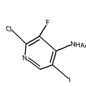 CC(=O)Nc1c(I)cnc(Cl)c1F